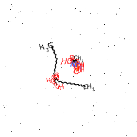 CCCCCCCCCCCCCCCC(=O)OC(C(=O)CCCCCCCCCCCCCCC)C(O)CO.C[C@@H](OP(=O)(O)OP(=O)(O)O)[C@H](N)C(=O)O